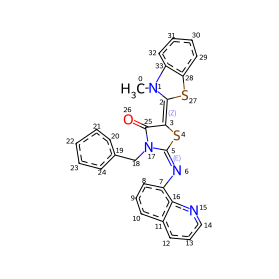 CN1/C(=C2/S/C(=N/c3cccc4cccnc34)N(Cc3ccccc3)C2=O)Sc2ccccc21